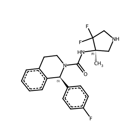 C[C@@]1(NC(=O)N2CCc3ccccc3[C@@H]2c2ccc(F)cc2)CNCC1(F)F